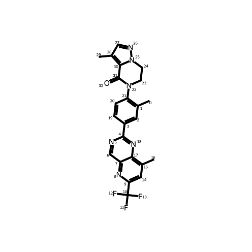 Cc1cc(-c2ncc3nc(C(F)(F)F)cc(C)c3n2)ccc1N1CCn2ncc(C)c2C1=O